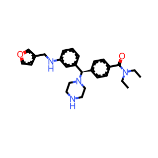 CCN(CC)C(=O)c1ccc([C@H](c2cccc(NCc3ccoc3)c2)N2CCNCC2)cc1